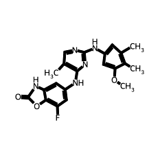 COc1cc(Nc2ncc(C)c(Nc3cc(F)c4oc(=O)[nH]c4c3)n2)cc(C)c1C